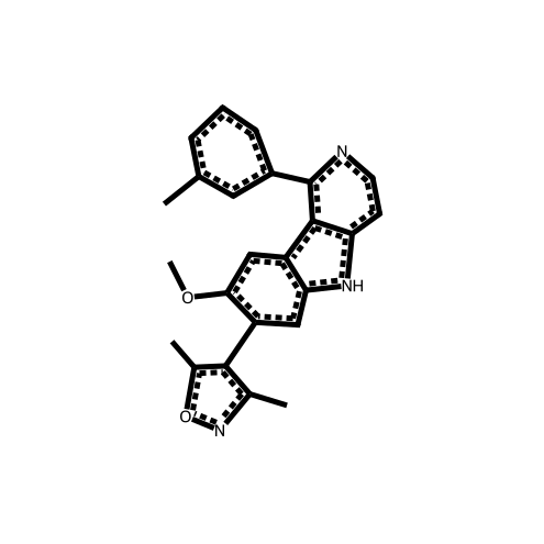 COc1cc2c(cc1-c1c(C)noc1C)[nH]c1ccnc(-c3cccc(C)c3)c12